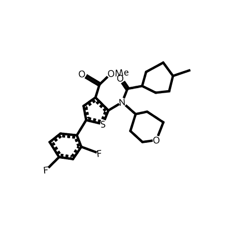 COC(=O)c1cc(-c2ccc(F)cc2F)sc1N(C(=O)C1CCC(C)CC1)C1CCOCC1